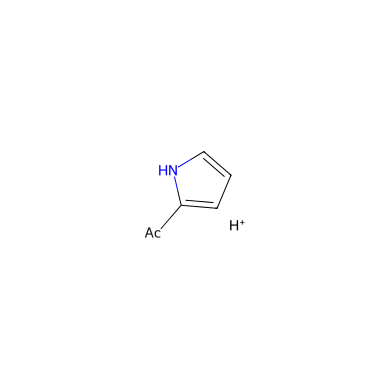 CC(=O)c1ccc[nH]1.[H+]